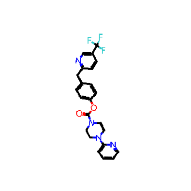 O=C(Oc1ccc(Cc2ccc(C(F)(F)F)cn2)cc1)N1CCN(c2ccccn2)CC1